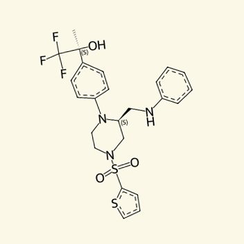 C[C@](O)(c1ccc(N2CCN(S(=O)(=O)c3cccs3)C[C@@H]2CNc2ccccc2)cc1)C(F)(F)F